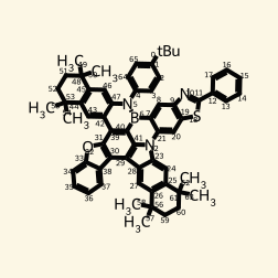 CC(C)(C)c1ccc(N2B3c4cc5nc(-c6ccccc6)sc5cc4-n4c5cc6c(cc5c5c7c(oc8ccccc87)c(c3c54)-c3cc4c(cc32)C(C)(C)CCC4(C)C)C(C)(C)CCC6(C)C)cc1